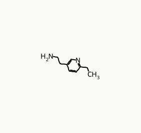 CCc1ccc(CCN)cn1